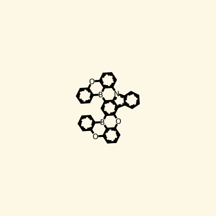 c1ccc2c(c1)Oc1cccc3c1B2c1cc2c4c(c1O3)c1ccccc1n4-c1cccc3c1B2c1ccccc1O3